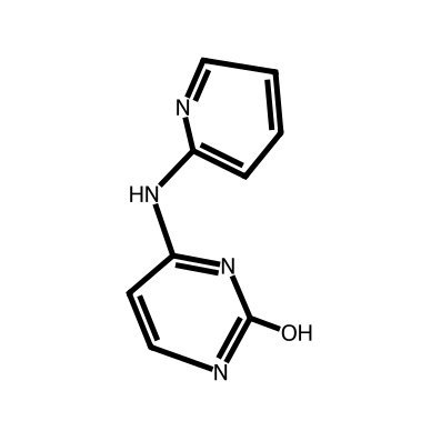 Oc1nccc(Nc2ccccn2)n1